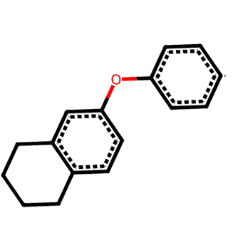 [c]1ccc(Oc2ccc3c(c2)CCCC3)cc1